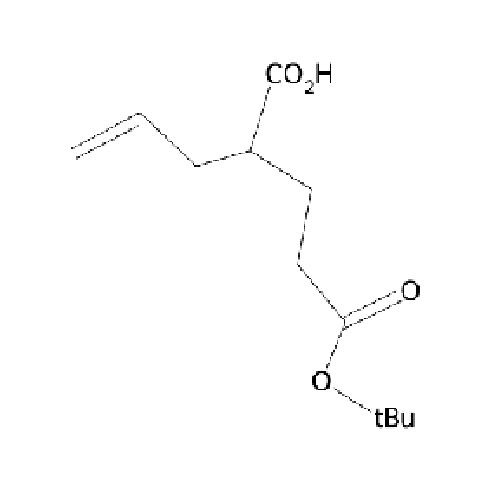 C=CCC(CCC(=O)OC(C)(C)C)C(=O)O